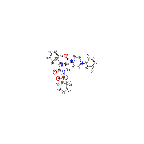 Cc1ccc(C)c(N2CCN(C(=O)[C@@H]3CN(S(=O)(=O)c4ccccc4F)C(=O)N3c3ccccc3)CC2)c1